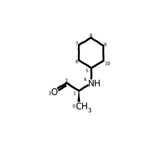 C[C@@H]([C]=O)NC1CCCCC1